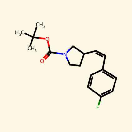 CC(C)(C)OC(=O)N1CCC(/C=C\c2ccc(F)cc2)C1